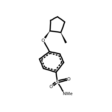 CNS(=O)(=O)c1ccc(O[C@H]2CCC[C@H]2C)cc1